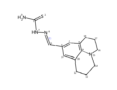 NC(=S)N/N=C/c1cc2c3c(c1)CCCN3CCC2